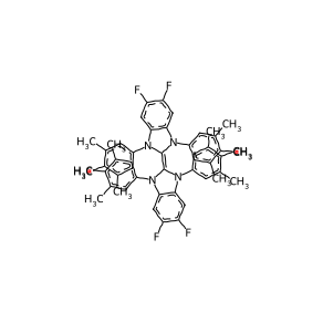 Cc1cc(N2C(=C3N(c4cc(C)c(C)c(C)c4)c4cc(F)c(F)cc4N3c3cc(C)c(C)c(C)c3)N(c3cc(C)c(C)c(C)c3)c3cc(F)c(F)cc32)cc(C)c1C